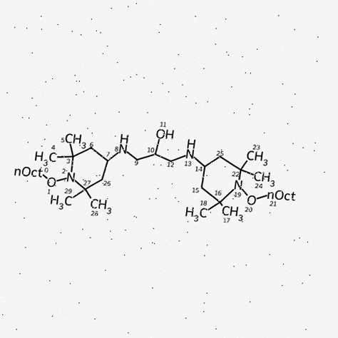 CCCCCCCCON1C(C)(C)CC(NCC(O)CNC2CC(C)(C)N(OCCCCCCCC)C(C)(C)C2)CC1(C)C